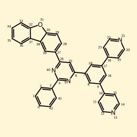 c1ccc(-c2nc(-c3cc(-c4ccncc4)cc(-c4ccncc4)c3)cc(-c3ccc4oc5ccccc5c4c3)n2)cc1